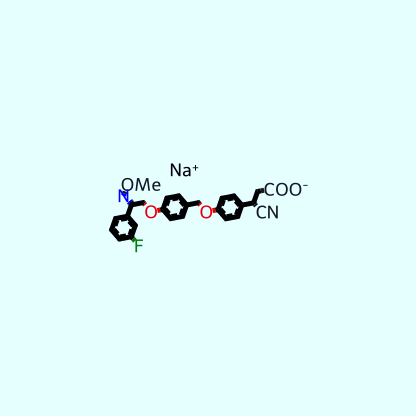 CO/N=C(\COc1ccc(COc2ccc(C(C#N)CC(=O)[O-])cc2)cc1)c1cccc(F)c1.[Na+]